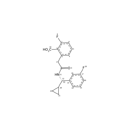 O=C(Cc1cccc(F)c1C(=O)O)N[C@H](c1cccc(F)c1)C1CC1